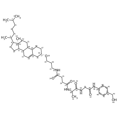 CC(C)CCCC(C)C1CCC2C3CC=C4C[C@@H](OCCCNC(=O)CCC(=O)NC(C)C(=O)NCC(=O)Nc5ccc(CO)cc5)CCC4C3CC[C@]12C